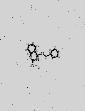 Nc1nc(OCc2ccccc2)c2ccccc2n1